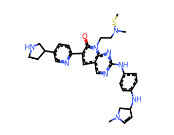 CSN(C)CCn1c(=O)c(-c2ccc(C3CCNC3)cn2)cc2cnc(Nc3ccc(NC4C=CN(C)C4)cc3)nc21